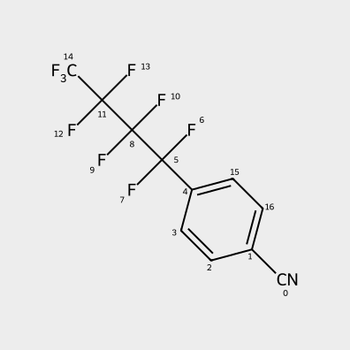 N#Cc1ccc(C(F)(F)C(F)(F)C(F)(F)C(F)(F)F)cc1